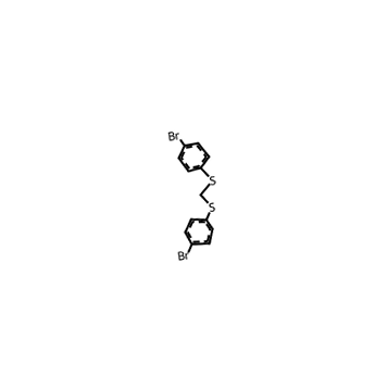 Brc1ccc(SCSc2ccc(Br)cc2)cc1